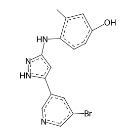 Cc1cc(O)ccc1Nc1cc(-c2cncc(Br)c2)[nH]n1